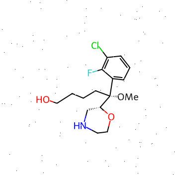 CO[C@](CCCCO)(c1cccc(Cl)c1F)[C@H]1CNCCO1